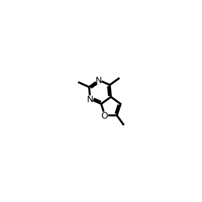 Cc1nc(C)c2cc(C)oc2n1